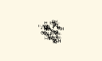 COc1ccc2nc([S+]([O-])Cc3ncc(C)c(OC)c3C)[nH]c2c1.Nc1nc(=O)c2nc(CNc3ccc(C(=O)N[C@@H](CCC(=O)O)C(=O)O)cc3)cnc2[nH]1.O=C(O)c1cn(C2CC2)c2cc(N3CCNCC3)c(F)cc2c1=O.c1ncc2[nH]cnc2n1